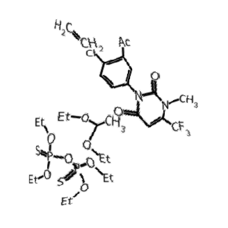 C=C.CC(=O)c1cc(-n2c(=O)cc(C(F)(F)F)n(C)c2=O)ccc1Cl.CCOC(C)OCC.CCOP(=S)(OCC)OP(=S)(OCC)OCC